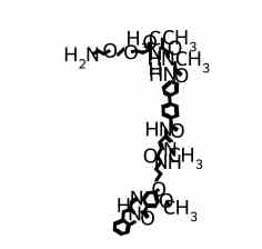 COc1cc2c(cc1OCCCNC(=O)c1cc(NC(=O)c3ccc(-c4ccc(NC(=O)[C@H](C)NC(=O)C(NC(=O)CCOCCOCCN)C(C)C)cc4)cc3)cn1C)N=C[C@@H]1Cc3ccccc3CN1C2=O